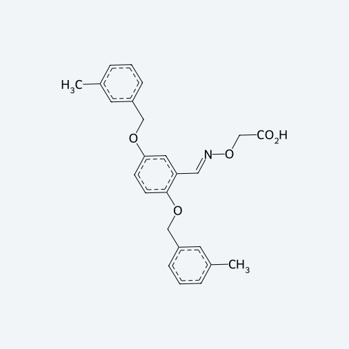 Cc1cccc(COc2ccc(OCc3cccc(C)c3)c(C=NOCC(=O)O)c2)c1